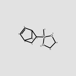 C[Si]1(C2CC3C=CC2C3)OCCO1